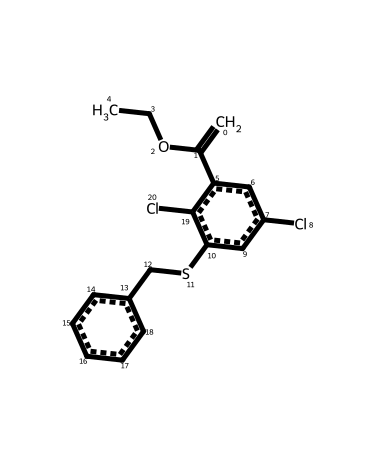 C=C(OCC)c1cc(Cl)cc(SCc2ccccc2)c1Cl